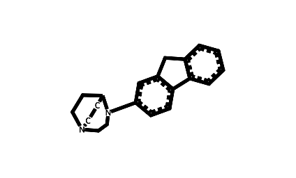 c1ccc2c(c1)Cc1cc(N3CCN4CCC3CC4)ccc1-2